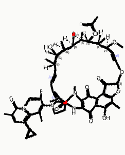 CO[C@H]1/C=C/O[C@@]2(C)Oc3c(C)c(O)c4c(c3C2=O)C(=O)C(N(C)C2CCN(c3c(F)cn5c(=O)c(C)cc(C6CC6)c5c3C)C2)=C(NC(=O)/C(C)=C\C=C\[C@H](C)[C@H](O)[C@@H](C)[C@@H](O)[C@@H](C)[C@H](OC(C)=O)[C@@H]1C)C4=O